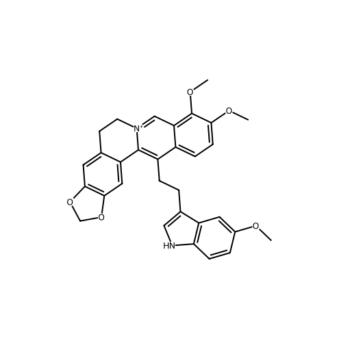 COc1ccc2[nH]cc(CCc3c4[n+](cc5c(OC)c(OC)ccc35)CCc3cc5c(cc3-4)OCO5)c2c1